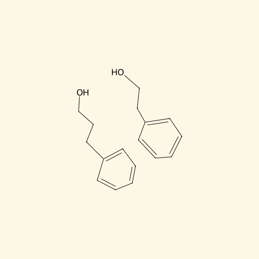 OCCCc1ccccc1.OCCc1ccccc1